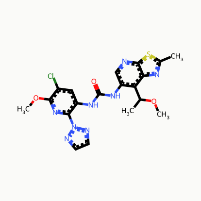 COc1nc(-n2nccn2)c(NC(=O)Nc2cnc3sc(C)nc3c2C(C)OC)cc1Cl